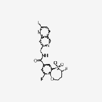 O=C(NCc1cc2nc(I)ccc2cn1)c1cc(F)c2c(c1)S(=O)(=O)C(F)CCO2